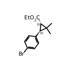 CCOC(=O)[C@H]1[C@H](c2ccc(Br)cc2)C1(C)C